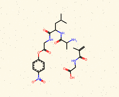 C=C(C)C(=O)NCC(=O)O.CC(C)CC(NC(=O)C(C)N)C(=O)NCC(=O)Oc1ccc([N+](=O)[O-])cc1